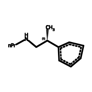 CCCNC[C@H](C)c1ccccc1